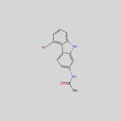 CC(C)(C)C(=O)Nc1ccc2c(c1)[nH]c1cccc(Br)c12